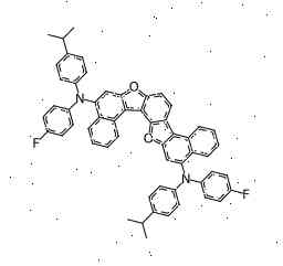 CC(C)c1ccc(N(c2ccc(F)cc2)c2cc3oc4c(ccc5oc6cc(N(c7ccc(F)cc7)c7ccc(C(C)C)cc7)c7ccccc7c6c54)c3c3ccccc23)cc1